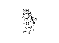 Nc1ccc(C(O)(CC2CCCC2)C(F)(F)F)cc1